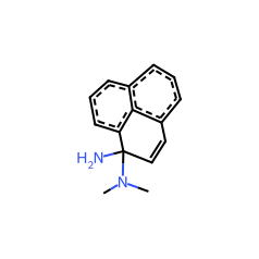 CN(C)C1(N)C=Cc2cccc3cccc1c23